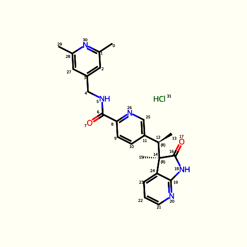 Cc1cc(CNC(=O)c2ccc([C@@H](C)[C@@]3(C)C(=O)Nc4ncccc43)cn2)cc(C)n1.Cl